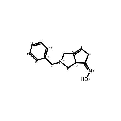 ON=C1CC=C2CN(Cc3ccccc3)CC21